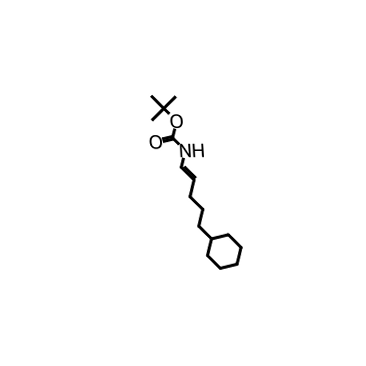 CC(C)(C)OC(=O)NC=CCCCC1CCCCC1